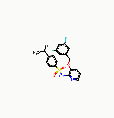 CC(C)c1ccc(S(=O)(=O)Nc2ncccc2OCc2cc(F)cc(F)c2)cc1